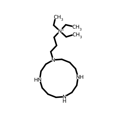 CC[N+](CC)(CC)CCCN1CCCNCCNCCCNCC1